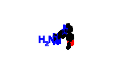 CCCOc1ccc(-c2ccc(C)nc2N2CCC(c3nnc(N)n3C)CC2)cc1